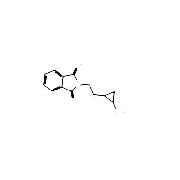 CCOC(=O)C1CC1CCN1C(=O)c2ccccc2C1=O